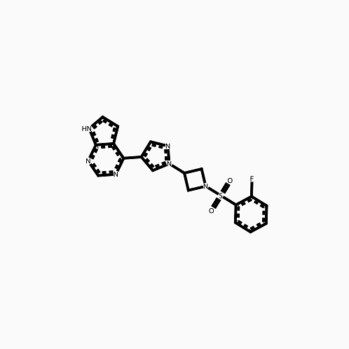 O=S(=O)(c1ccccc1F)N1C[C](n2cc(-c3ncnc4[nH]ccc34)cn2)C1